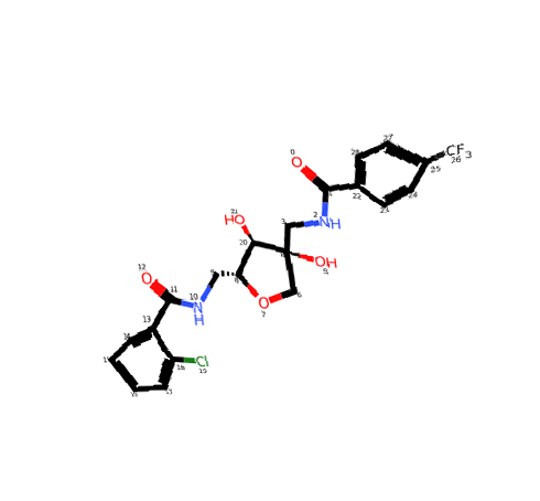 O=C(NC[C@]1(O)CO[C@H](CNC(=O)c2ccccc2Cl)[C@H]1O)c1ccc(C(F)(F)F)cc1